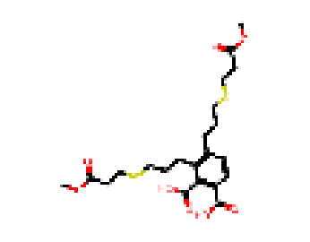 COC(=O)CCSCCCc1ccc(C(=O)O)c(C(=O)O)c1CCCSCCC(=O)OC